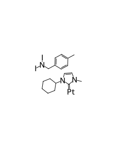 Cc1ccc(CN(I)I)cc1.Cn1ccn(C2CCCCC2)[c]1=[Pt]